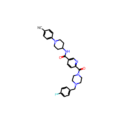 N#Cc1ccc(N2CCC(NC(=O)c3ccc(C(=O)N4CCN(Cc5ccc(F)cc5)CC4)nc3)CC2)cc1